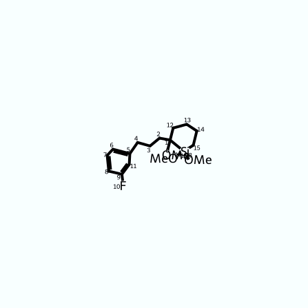 COC1(CCCc2cccc(F)c2)CCCC[Si]1(OC)OC